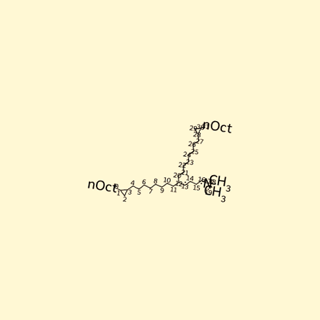 CCCCCCCCC1CC1CCCCCCCCC([CH]CC[CH]N(C)C)CCCCCCCCC1CC1CCCCCCCC